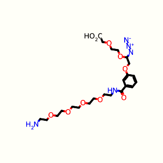 [N-]=[N+]=NC(COc1cccc(C(=O)NCCOCCOCCOCCOCCN)c1)OCCOCC(=O)O